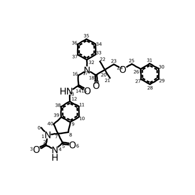 CN1C(=O)NC(=O)C12Cc1ccc(NC(=O)CN(C(=O)C(C)(C)COCc3ccccc3)c3ccccc3)cc1C2